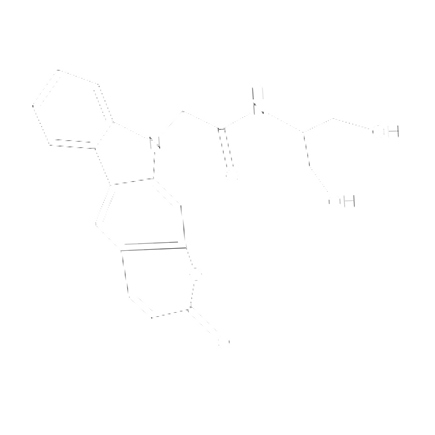 O=C(Cn1c2ccccc2c2cc3ccc(=O)oc3cc21)NC(CO)CO